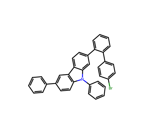 Brc1ccc(-c2ccccc2-c2ccc3c4cc(-c5ccccc5)ccc4n(-c4ccccc4)c3c2)cc1